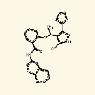 CC(Oc1ccccc1C(=O)Nc1cnc2ccccc2c1)c1c(-c2cccs2)n[nH]c1Cl